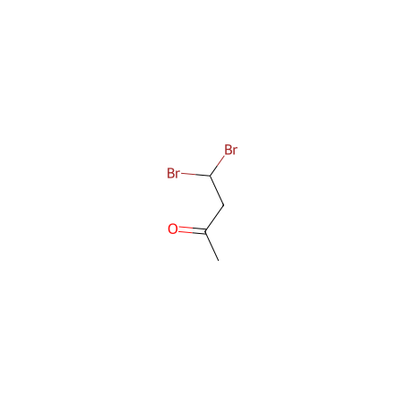 CC(=O)CC(Br)Br